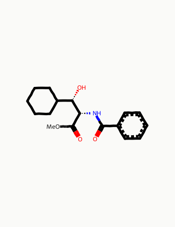 COC(=O)[C@@H](NC(=O)c1ccccc1)[C@@H](O)C1CCCCC1